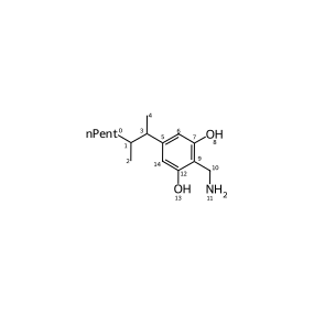 CCCCCC(C)C(C)c1cc(O)c(CN)c(O)c1